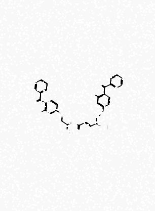 CC(C=CC(=O)OC(C)COc1ccc(C(=O)c2ccccc2)c(O)c1)COc1ccc(C(=O)c2ccccc2)c(O)c1